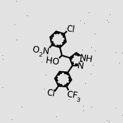 O=[N+]([O-])c1ccc(Cl)cc1C(O)c1c[nH]nc1-c1ccc(Cl)c(C(F)(F)F)c1